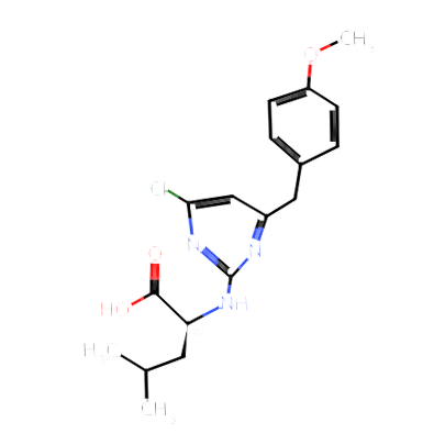 COc1ccc(Cc2cc(Cl)nc(N[C@@H](CC(C)C)C(=O)O)n2)cc1